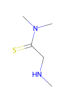 CNCC(=S)N(C)C